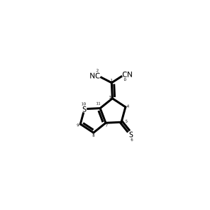 N#CC(C#N)=C1CC(=S)c2ccsc21